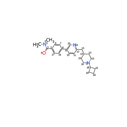 CN(C)C(=O)c1ccc(-c2ccc(CC3CCN(C4CCC4)CC3)nc2)cc1